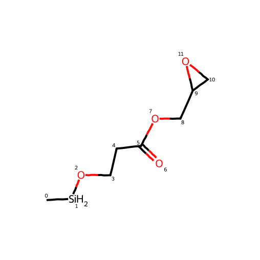 C[SiH2]OCCC(=O)OCC1CO1